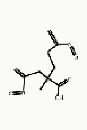 C=C(CCC(C)(CC(=C)N=O)C(=O)O)N=O